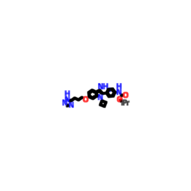 CC(C)OC(=O)Nc1ccc(-c2c(N)c3ccc(OCCCc4ncn[nH]4)cc3n2C2CCC2)cc1